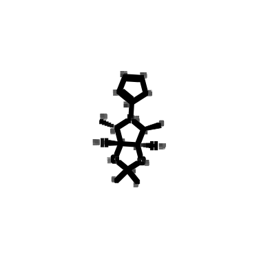 C[C@H]1[C@H]2OC(C)(C)O[C@@H]2[C@H](C)P1C1=CC=CC1